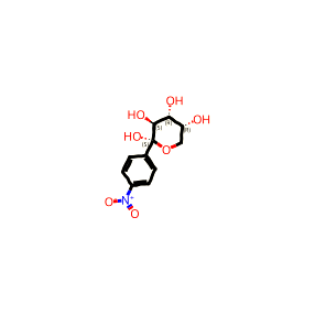 O=[N+]([O-])c1ccc([C@]2(O)OC[C@@H](O)[C@@H](O)[C@@H]2O)cc1